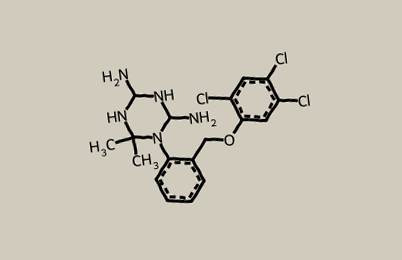 CC1(C)NC(N)NC(N)N1c1ccccc1COc1cc(Cl)c(Cl)cc1Cl